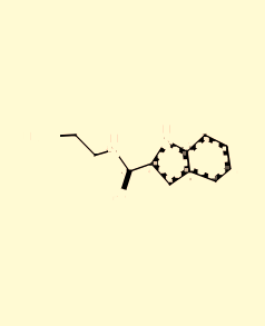 O=C(O)CCNC(=O)c1cc2ccccc2[nH]1